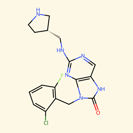 O=c1[nH]c2cnc(NC[C@@H]3CCNC3)nc2n1Cc1c(F)cccc1Cl